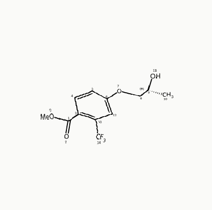 COC(=O)c1ccc(OC[C@@H](C)O)cc1C(F)(F)F